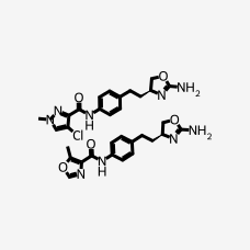 Cc1ocnc1C(=O)Nc1ccc(CC[C@H]2COC(N)=N2)cc1.Cn1cc(Cl)c(C(=O)Nc2ccc(CC[C@H]3COC(N)=N3)cc2)n1